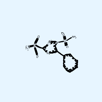 NS(=O)(=O)c1nc(-c2ccccc2)n(S(N)(=O)=O)n1